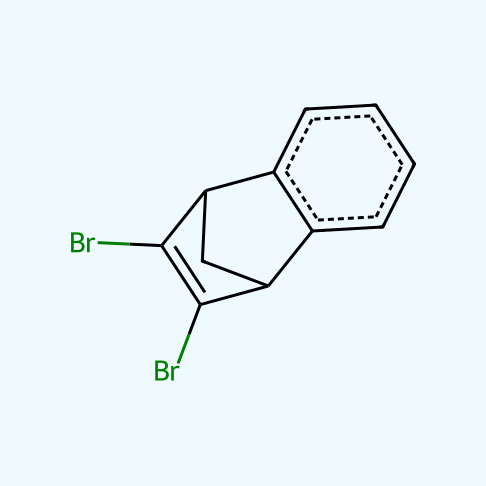 BrC1=C(Br)C2CC1c1ccccc12